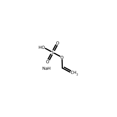 C=COS(=O)(=O)O.[NaH]